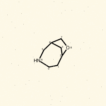 C1CC2CC(CN1)CO2